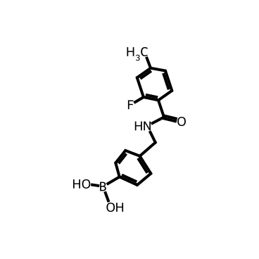 Cc1ccc(C(=O)NCc2ccc(B(O)O)cc2)c(F)c1